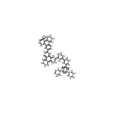 c1ccc(-c2nc(-c3ccccc3)nc(-c3cccc(-c4cccc(-c5ccc6c7ccccc7c7ccc(-c8ccc9c(c8)c8cccc%10oc%11cccc9c%11c%108)cc7c6c5)c4)c3)n2)cc1